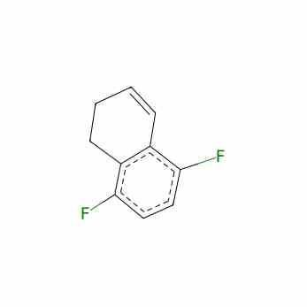 Fc1ccc(F)c2c1C=CCC2